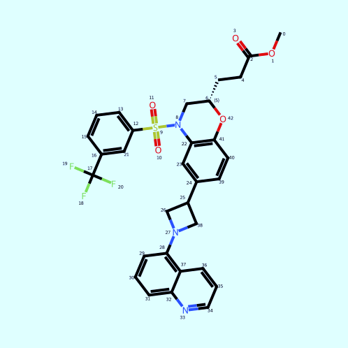 COC(=O)CC[C@H]1CN(S(=O)(=O)c2cccc(C(F)(F)F)c2)c2cc(C3CN(c4cccc5ncccc45)C3)ccc2O1